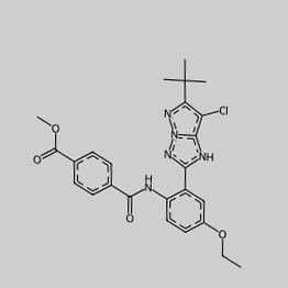 CCOc1ccc(NC(=O)c2ccc(C(=O)OC)cc2)c(-c2nn3nc(C(C)(C)C)c(Cl)c3[nH]2)c1